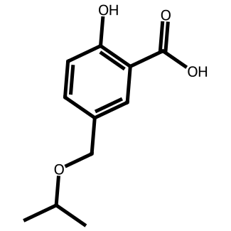 CC(C)OCc1ccc(O)c(C(=O)O)c1